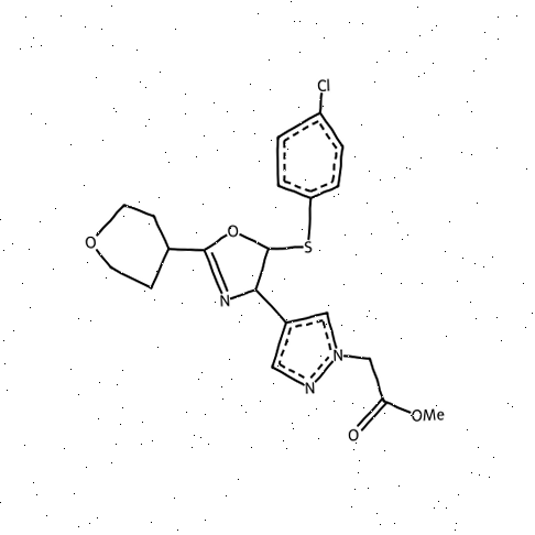 COC(=O)Cn1cc(C2N=C(C3CCOCC3)OC2Sc2ccc(Cl)cc2)cn1